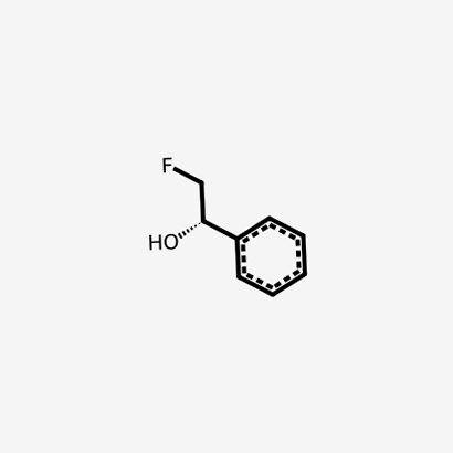 O[C@H](CF)c1ccccc1